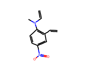 C=Cc1cc([N+](=O)[O-])ccc1N(C)C=C